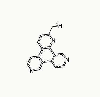 [2H]Cc1ccc2c3ccncc3c3ccncc3c2n1